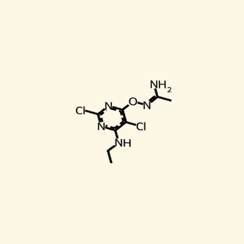 CCNc1nc(Cl)nc(ON=C(C)N)c1Cl